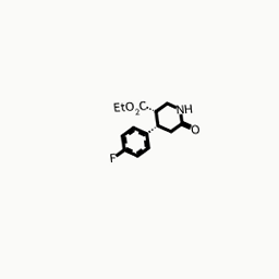 CCOC(=O)[C@@H]1CNC(=O)C[C@@H]1c1ccc(F)cc1